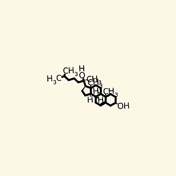 CC(C)CCC[C@@](C)(O)[C@@H]1CC[C@@H]2[C@H]3CC=C4C[C@H](O)CC[C@]4(C)[C@@H]3CC[C@]21C